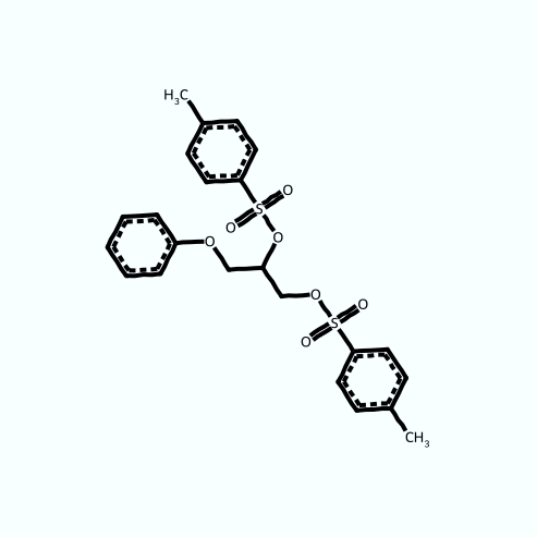 Cc1ccc(S(=O)(=O)OCC(COc2ccccc2)OS(=O)(=O)c2ccc(C)cc2)cc1